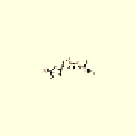 NC(=S)NCc1ccc(NCC(=O)O)s1